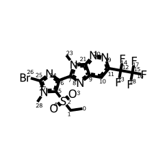 CCS(=O)(=O)c1c(-c2nc3cc(C(F)(F)C(F)(F)F)nnc3n2C)nc(Br)n1C